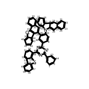 c1ccc(-c2nc(-c3ccc(-n4c5ccccc5c5cc6ccccc6cc54)c(-c4cc5ccccc5c5oc6ccccc6c45)c3)nc(-c3cccc4c3sc3ccccc34)n2)cc1